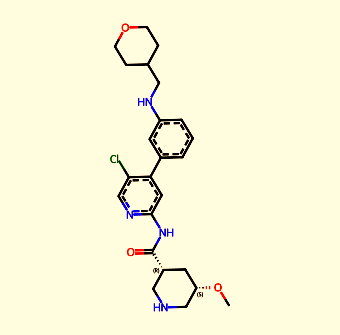 CO[C@@H]1CNC[C@H](C(=O)Nc2cc(-c3cccc(NCC4CCOCC4)c3)c(Cl)cn2)C1